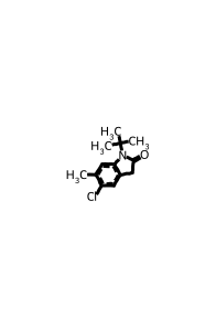 Cc1cc2c(cc1Cl)CC(=O)N2C(C)(C)C